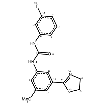 COc1cc(NC(=O)Nc2cccc(F)c2)cc(C2=NCCN2)c1